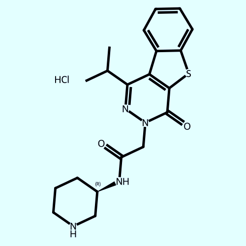 CC(C)c1nn(CC(=O)N[C@@H]2CCCNC2)c(=O)c2sc3ccccc3c12.Cl